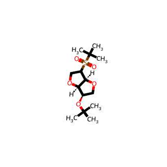 CC(C)(C)O[C@@H]1CO[C@@H]2C(S(=O)(=O)C(C)(C)C)CO[C@@H]21